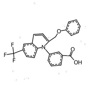 O=C(O)c1cccc(N2C(COc3ccccc3)=C=Cc3cc(C(F)(F)F)ccc32)c1